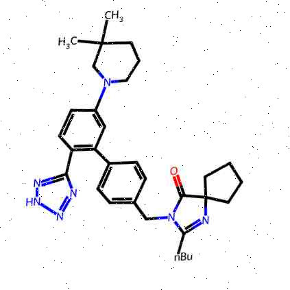 CCCCC1=NC2(CCCC2)C(=O)N1Cc1ccc(-c2cc(N3CCCC(C)(C)C3)ccc2-c2nn[nH]n2)cc1